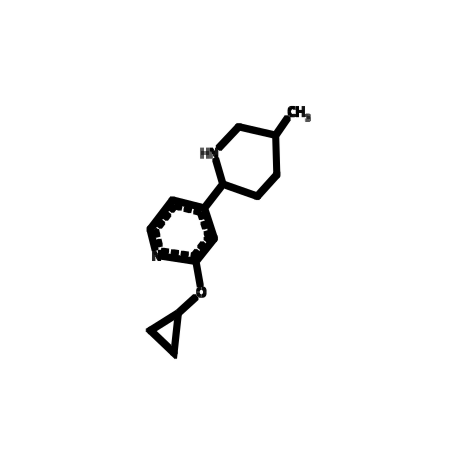 CC1CCC(c2ccnc(OC3CC3)c2)NC1